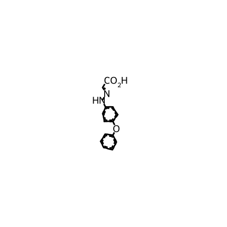 O=C(O)C=NNc1ccc(Oc2ccccc2)cc1